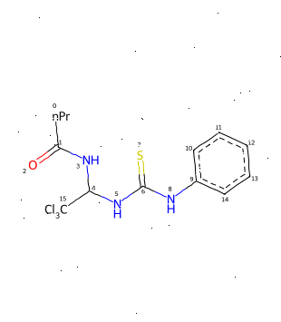 CCCC(=O)NC(NC(=S)Nc1ccccc1)C(Cl)(Cl)Cl